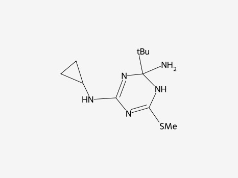 CSC1=NC(NC2CC2)=NC(N)(C(C)(C)C)N1